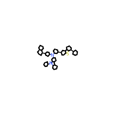 c1ccc(-c2cccc3c2sc2ccc(-c4cccc(N(c5ccc(-c6cccc7ccccc67)cc5)c5ccc6c7ccccc7n(-c7ccccc7)c6c5)c4)cc23)cc1